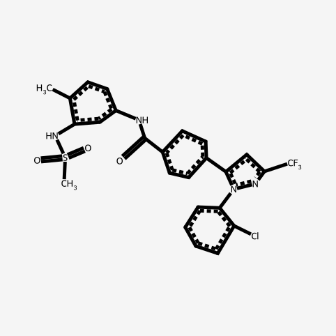 Cc1ccc(NC(=O)c2ccc(-c3cc(C(F)(F)F)nn3-c3ccccc3Cl)cc2)cc1NS(C)(=O)=O